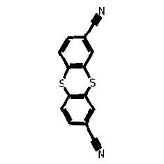 N#Cc1ccc2c(c1)Sc1cc(C#N)ccc1S2